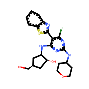 OC[C@@H]1C[C@@H](O)[C@H](Nc2nc(NC3CCOCC3)nc(Cl)c2-c2nc3ccccc3s2)C1